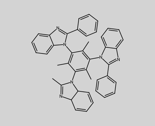 CC1=NC2C=CC=CC2N1c1c(C)c(-n2c(-c3ccccc3)nc3ccccc32)c(C)c(-n2c(-c3ccccc3)nc3ccccc32)c1C